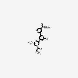 C=CC(=O)N1C[C@H](C)O[C@@H](c2cc(Cl)nc(-c3cc(C(=O)NC)ccn3)c2)C1